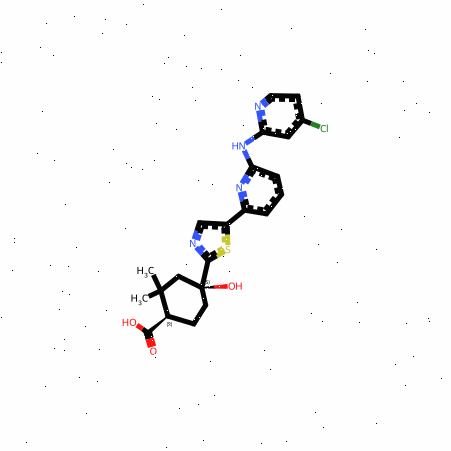 CC1(C)C[C@](O)(c2ncc(-c3cccc(Nc4cc(Cl)ccn4)n3)s2)CC[C@H]1C(=O)O